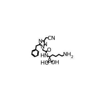 N#CCc1nc(Cc2ccccc2)n(CC(=O)NC(CCCCN)B(O)O)n1